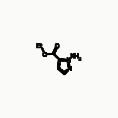 CCOC(=O)c1ccnn1N